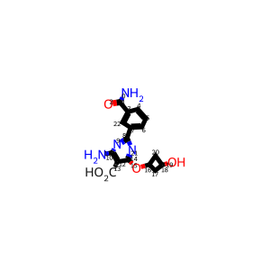 NC(=O)c1cccc(-c2nc(N)c(C(=O)O)c(OC3CC(O)C3)n2)c1